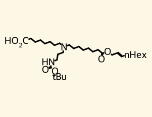 CCCCCCC=CCOC(=O)CCCCCCCN(CCCCCCCC(=O)O)CCCNC(=O)OC(C)(C)C